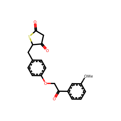 COc1cccc(C(=O)COc2ccc(CC3SC(=O)CC3=O)cc2)c1